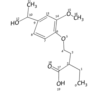 CCC(CCOc1ccc(C(C)O)cc1OC)C(=O)O